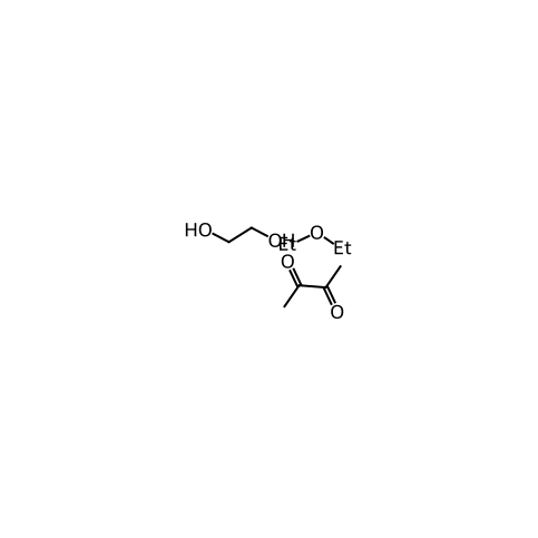 CC(=O)C(C)=O.CCOCC.OCCO